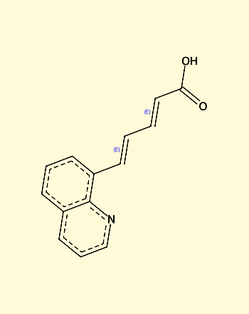 O=C(O)/C=C/C=C/c1cccc2cccnc12